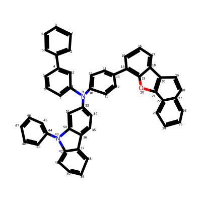 c1ccc(-c2cccc(N(c3ccc(-c4cccc5c4oc4c6ccccc6ccc54)cc3)c3ccc4c5ccccc5n(-c5ccccc5)c4c3)c2)cc1